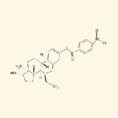 CC[C@@H]1CC2CC(OC(=O)c3ccc([N+](=O)[O-])cc3)=CC[C@@H]2[C@H]2CC[C@]3(C)[C@@H](O)CC[C@H]3[C@H]12